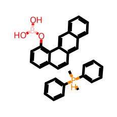 C[PH](C)(c1ccccc1)c1ccccc1.OB(O)Oc1cccc2ccc3cc4ccccc4cc3c12